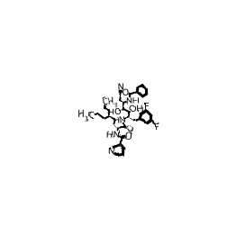 CCCC(CCC)CC[C@@H](NC(=O)c1cccnc1)C(=O)N[C@@H](Cc1cc(F)cc(F)c1)[C@@H](O)[C@H](O)[C@@H](CC#N)NC(=O)c1ccccc1